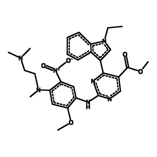 CCn1cc(-c2nc(Nc3cc([N+](=O)[O-])c(N(C)CCN(C)C)cc3OC)ncc2C(=O)OC)c2ccccc21